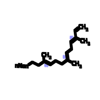 C=C/C(C)=C/C/C=C(\C)CC/C=C(\C)CCCCCCCCCCC